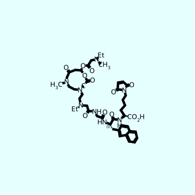 CCN(C)CC(=O)OC1CC(=O)CN(C)CCN(CCN(CC)CC(=O)NCC(=O)N[C@@H](Cc2ccc3ccccc3c2)C(=O)N[C@@H](CCCCN2C(=O)C=CC2=O)C(=O)O)CC(=O)O1